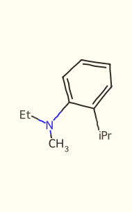 CCN(C)c1ccccc1C(C)C